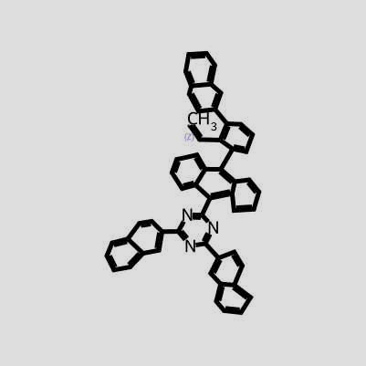 C/C=C\c1c(-c2ccc3ccccc3c2)cccc1-c1c2ccccc2c(-c2nc(-c3ccc4ccccc4c3)nc(-c3ccc4ccccc4c3)n2)c2ccccc12